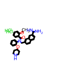 COc1ccccc1C(=O)N(Cc1ccc2ccc(C(=N)N)cc2c1)c1ccccc1OC1CCNCC1.Cl.Cl